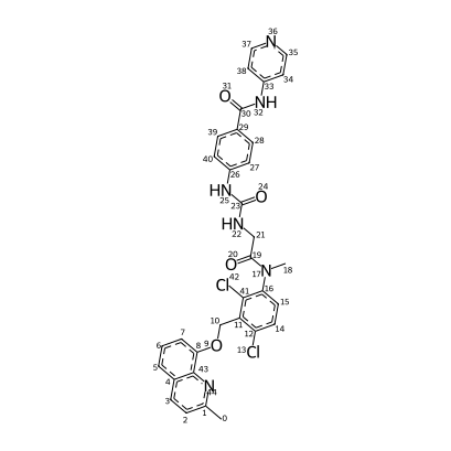 Cc1ccc2cccc(OCc3c(Cl)ccc(N(C)C(=O)CNC(=O)Nc4ccc(C(=O)Nc5ccncc5)cc4)c3Cl)c2n1